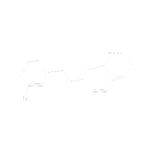 [C-]#[N+]c1cccc(C=Cc2ccc3ccccc3c2)c1